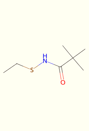 CCSNC(=O)C(C)(C)C